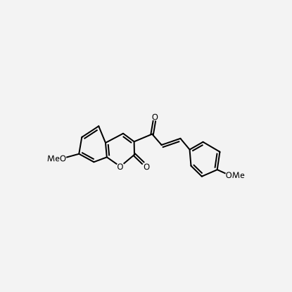 COc1ccc(C=CC(=O)c2cc3ccc(OC)cc3oc2=O)cc1